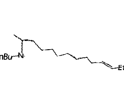 CCC=CCCCCCCCCC(C)[N]CCCC